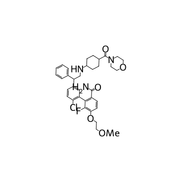 COCCOc1ccc(C(N)=O)c(-c2cc(C(CNC3CCC(C(=O)N4CCOCC4)CC3)c3ccccc3)ccc2Cl)c1F